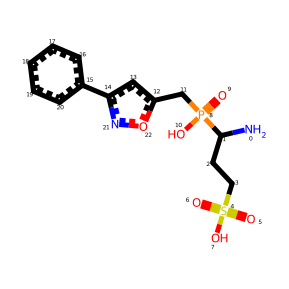 NC(CCS(=O)(=O)O)P(=O)(O)Cc1cc(-c2ccccc2)no1